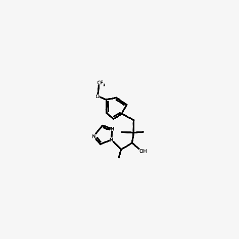 CC(C(O)C(C)(C)Cc1ccc(OC(F)(F)F)cc1)n1cncn1